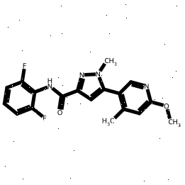 COc1cc(C)c(-c2cc(C(=O)Nc3c(F)cccc3F)nn2C)cn1